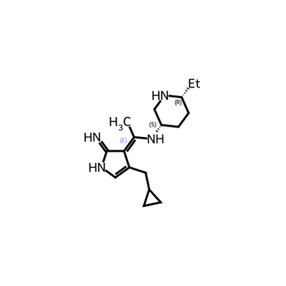 CC[C@@H]1CC[C@H](N/C(C)=C2/C(=N)NC=C2CC2CC2)CN1